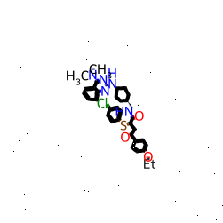 CCOc1ccc(C(=O)CC(Sc2ccc(Cl)cc2)C(=O)NC[C@H]2CC[C@@H](Nc3nc(N(C)C)c4ccccc4n3)CC2)cc1